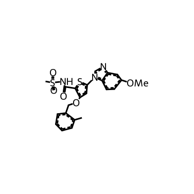 COc1ccc2c(c1)ncn2-c1cc(OCc2ccccc2C)c(C(=O)NS(C)(=O)=O)s1